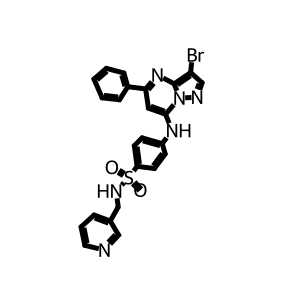 O=S(=O)(NCc1cccnc1)c1ccc(Nc2cc(-c3ccccc3)nc3c(Br)cnn23)cc1